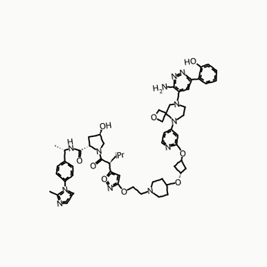 Cc1nccn1-c1ccc([C@H](C)NC(=O)[C@@H]2C[C@@H](O)CN2C(=O)[C@H](c2cc(OCCN3CCC(O[C@H]4C[C@H](Oc5cc(N6CCN(c7cc(-c8ccccc8O)nnc7N)CC67COC7)ccn5)C4)CC3)no2)C(C)C)cc1